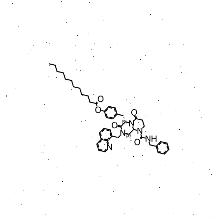 CCCCCCCCCCCC(=O)Oc1ccc(C[C@H]2C(=O)N(Cc3cccc4cccnc34)[C@@H](C)C3N(C(=O)NCc4ccccc4)CCC(=O)N32)cc1